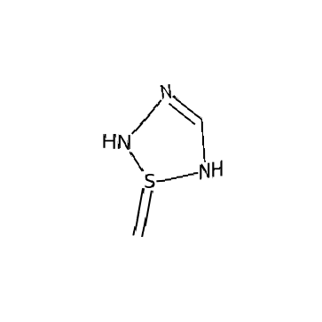 C=S1NC=NN1